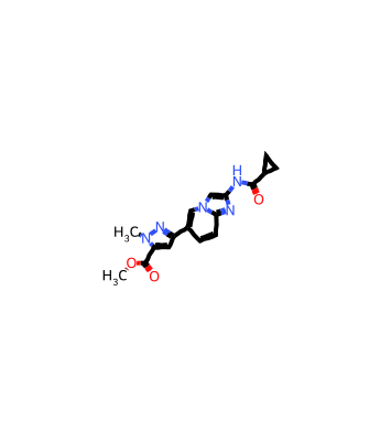 COC(=O)c1cc(-c2ccc3nc(NC(=O)C4CC4)cn3c2)nn1C